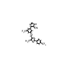 Cc1nc(-c2ccc(C(F)(F)F)cc2)sc1COc1cc(-c2nn[nH]c2C#N)cc(C(F)(F)F)c1